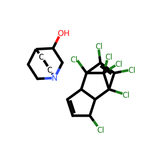 ClC1=C(Cl)C2(Cl)C3C(Cl)C=CC3C1(Cl)C2(Cl)Cl.OC1CN2CCC1CC2